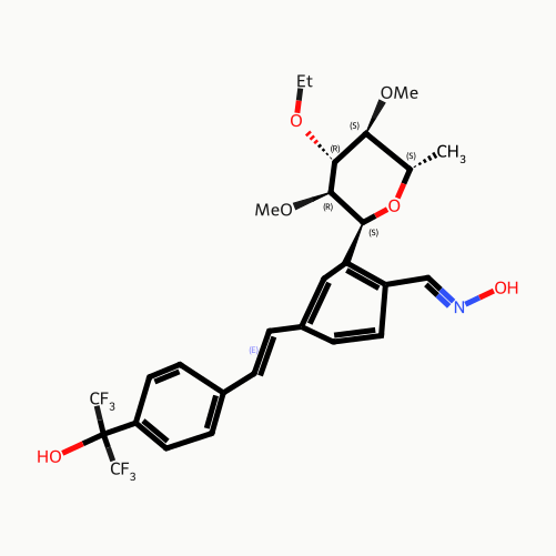 CCO[C@@H]1[C@@H](OC)[C@H](C)O[C@@H](c2cc(/C=C/c3ccc(C(O)(C(F)(F)F)C(F)(F)F)cc3)ccc2C=NO)[C@H]1OC